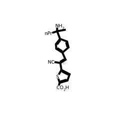 CCCC(C)(N)c1ccc(/C=C(\C#N)c2ccc(C(=O)O)s2)cc1